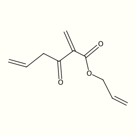 C=CCOC(=O)C(=C)C(=O)CC=C